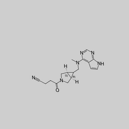 CN(CC1[C@H]2CN(C(=O)CCC#N)C[C@@H]12)c1ncnc2[nH]ccc12